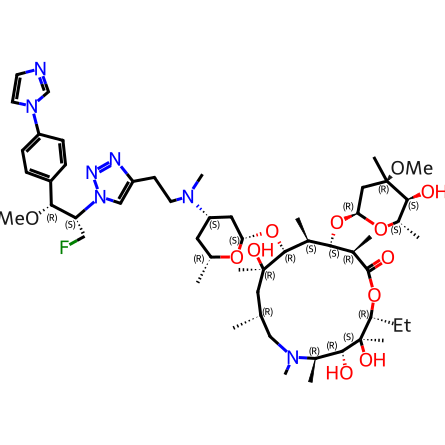 CC[C@H]1OC(=O)[C@H](C)[C@@H](O[C@H]2C[C@@](C)(OC)[C@@H](O)[C@H](C)O2)[C@H](C)[C@@H](O[C@H]2C[C@@H](N(C)CCc3cn([C@H](CF)[C@H](OC)c4ccc(-n5ccnc5)cc4)nn3)C[C@@H](C)O2)[C@](C)(O)C[C@@H](C)CN(C)[C@H](C)[C@@H](O)[C@]1(C)O